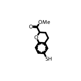 COC(=O)C1CCc2cc(S)ccc2O1